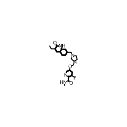 CCc1cc2ccc(CN3CC[C@@H](COc4cnc(C(=O)NC)c(F)c4)C3)cc2[nH]c1=O